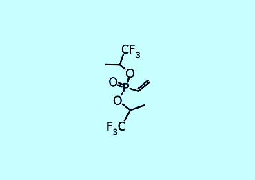 C=CP(=O)(OC(C)C(F)(F)F)OC(C)C(F)(F)F